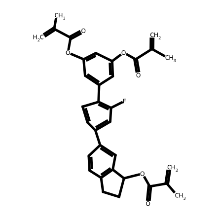 C=C(C)C(=O)Oc1cc(OC(=O)C(=C)C)cc(-c2ccc(-c3ccc4c(c3)C(OC(=O)C(=C)C)CC4)cc2F)c1